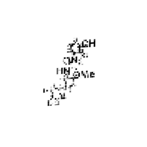 COc1ccc(-c2cc(C)c(C)cn2)cc1NCC(=O)N1CCc2c(O)cccc21